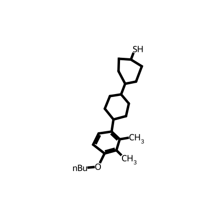 CCCCOc1ccc(C2CCC(C3CCC(S)CC3)CC2)c(C)c1C